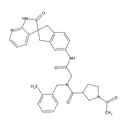 [CH2]c1ccccc1CN(CC(=O)Nc1ccc2c(c1)CC1(C2)C(=O)Nc2ncccc21)C(=O)C1CCN(C(C)=O)C1